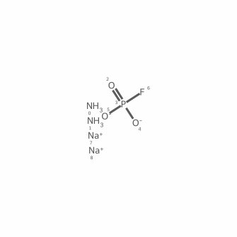 N.N.O=P([O-])([O-])F.[Na+].[Na+]